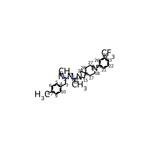 C/N=C(Cc1ccc(C)cc1)\N=C(/C)N1CC2(CCN(c3cccc(C(F)(F)F)c3)CC2)C1